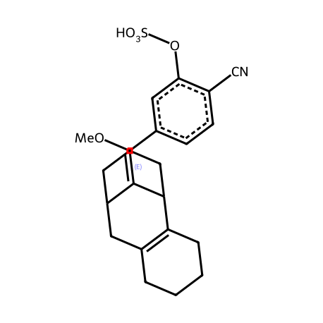 CO/C(=C1\C2CCCC1C1=C(CCCC1)C2)c1ccc(C#N)c(OS(=O)(=O)O)c1